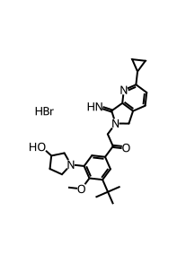 Br.COc1c(N2CCC(O)C2)cc(C(=O)CN2Cc3ccc(C4CC4)nc3C2=N)cc1C(C)(C)C